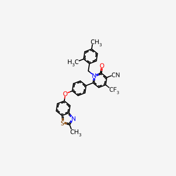 Cc1ccc(Cn2c(-c3ccc(Oc4ccc5sc(C)nc5c4)cc3)cc(C(F)(F)F)c(C#N)c2=O)c(C)c1